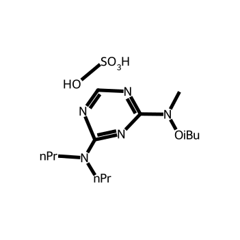 CCCN(CCC)c1ncnc(N(C)OCC(C)C)n1.O=S(=O)(O)O